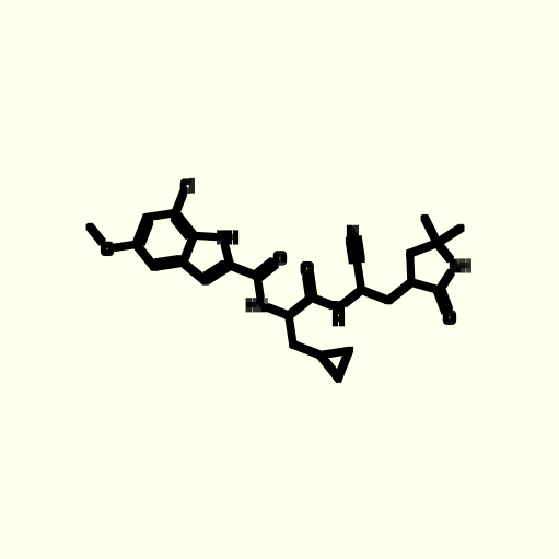 COc1cc(Cl)c2[nH]c(C(=O)NC(CC3CC3)C(=O)NC(C#N)CC3CC(C)(C)NC3=O)cc2c1